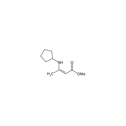 COC(=O)/C=C(/C)NC1CCCC1